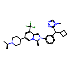 C=C(C)N1CCC(C2=CN3C(=C)N(c4cccc(C(c5nncn5C)C5CCC5)c4)C=C3C(C(F)(F)F)=C2)CC1